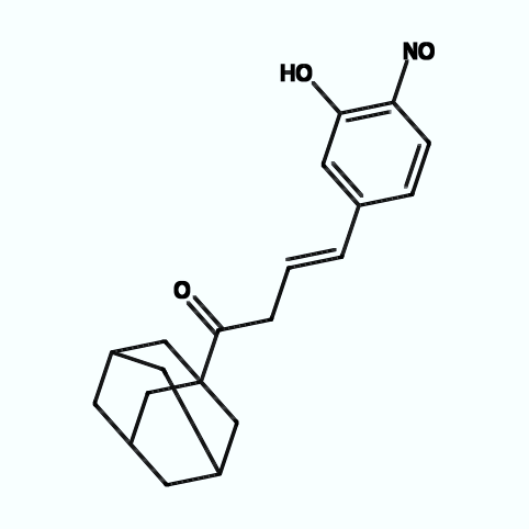 O=Nc1ccc(/C=C/CC(=O)C23CC4CC(CC(C4)C2)C3)cc1O